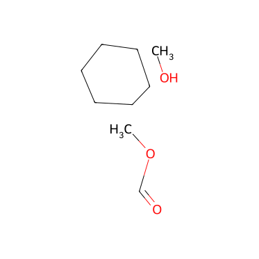 C1CCCCC1.CO.COC=O